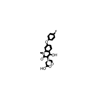 Cn1c(=O)c(N(C=O)CC(=O)O)c(O)c2ccc(Oc3ccc(F)cc3)cc21